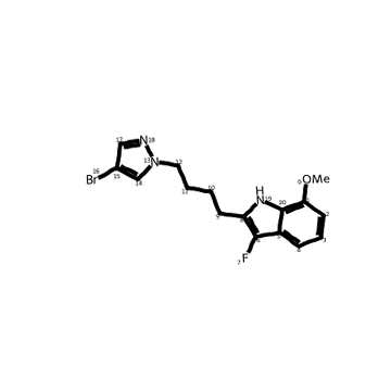 COc1cccc2c(F)c(CCCCn3cc(Br)cn3)[nH]c12